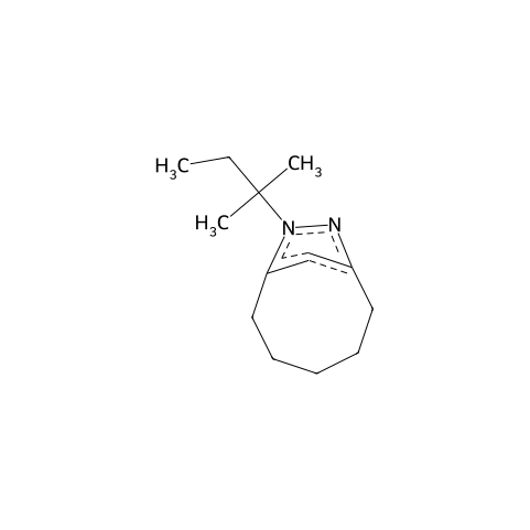 CCC(C)(C)n1nc2cc1CCCCC2